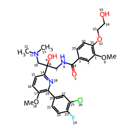 COc1cc(C(=O)NCC(O)(CN(C)C)c2ccc(OC)c(-c3ccc(F)c(Cl)c3)n2)ccc1OCCO